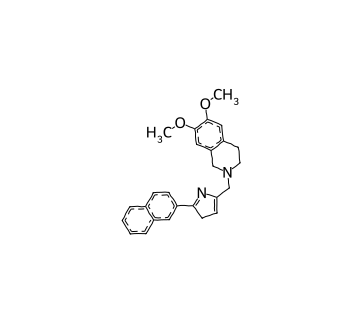 COc1cc2c(cc1OC)CN(CC1=CCC(c3ccc4ccccc4c3)=N1)CC2